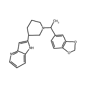 CC(c1ccc2c(c1)OCO2)N1CCCC(c2cc3ncccc3[nH]2)C1